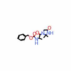 CC(NC(=O)OCc1ccccc1)C(=O)N1CC(=O)NC1(C)C